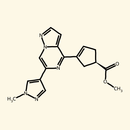 COC(=O)[C@@H]1CC=C(c2nc(-c3cnn(C)c3)cn3nccc23)C1